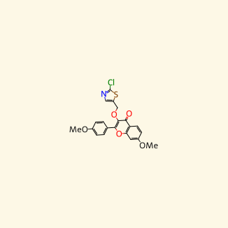 COc1ccc(-c2oc3cc(OC)ccc3c(=O)c2OCc2cnc(Cl)s2)cc1